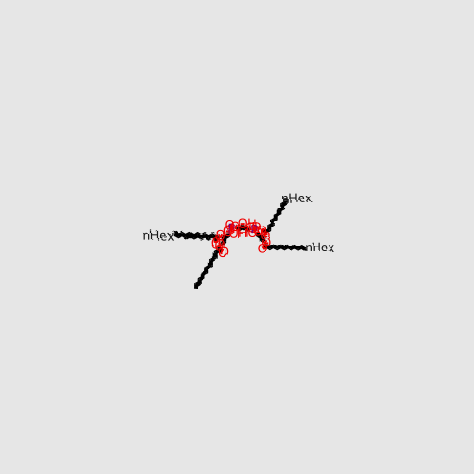 CC=CCC=CCCCCCCC(=O)OCC(COP(=O)(O)OCC(O)COP(=O)(O)OCC(COC(=O)CCCCCCC=CCC=CCCCCCC)OC(=O)CCCCCCC=CCC=CCCCCCC)OC(=O)CCCCCCC=CCC=CCCCCCC